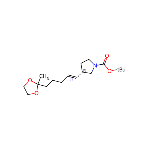 CC(C)(C)OC(=O)N1CC[C@@H](/C=C/CCCC2(C)OCCO2)C1